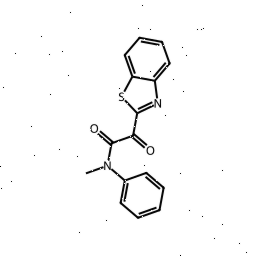 CN(C(=O)C(=O)c1nc2ccccc2s1)c1ccccc1